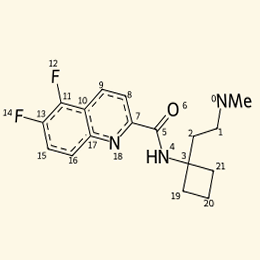 CNCCC1(NC(=O)c2ccc3c(F)c(F)ccc3n2)CCC1